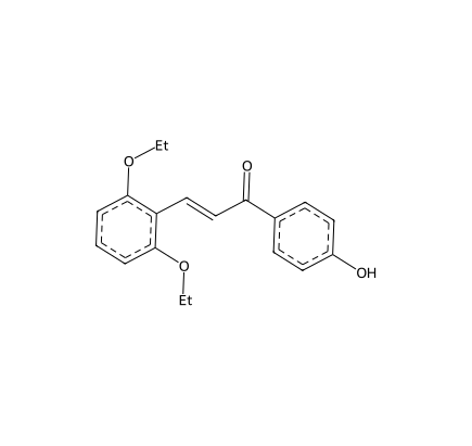 CCOc1cccc(OCC)c1C=CC(=O)c1ccc(O)cc1